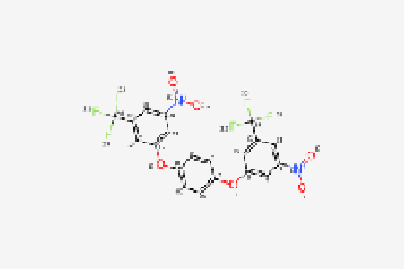 O=[N+]([O-])c1cc(Oc2ccc(Oc3cc([N+](=O)[O-])cc(C(F)(F)F)c3)cc2)cc(C(F)(F)F)c1